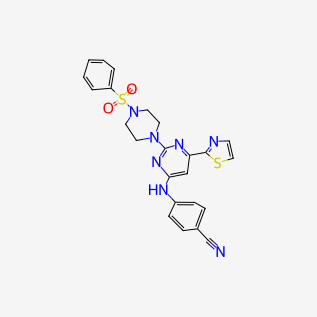 N#Cc1ccc(Nc2cc(-c3nccs3)nc(N3CCN(S(=O)(=O)c4ccccc4)CC3)n2)cc1